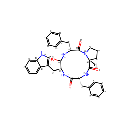 O=C1N[C@H](Cc2ccccc2)C(=O)N[C@@H](Cc2c[nH]c3ccccc23)C(O)N[C@H](Cc2ccccc2)C(=O)N2CCC[C@H]12